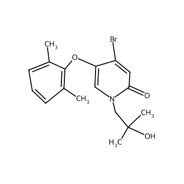 Cc1cccc(C)c1Oc1cn(CC(C)(C)O)c(=O)cc1Br